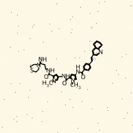 Cn1cc(NC(=O)c2cc(NC(=O)c3ccc(/C=C/c4cnc5ccccc5c4)cc3)cn2C)cc1C(=O)NCCC(=N)N1CCSCC1